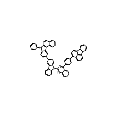 C1=CC2c3cccc4c(-c5ccc(-c6nc(-n7c8ccccc8c8cc(-c9ccc%10c(c9)c9c%11ccccc%11ccc9n%10-c9ccccc9)ccc87)nc7c6=CCCC=7)cc5)ccc(c34)C2C=C1